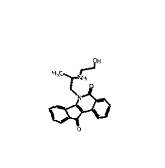 CC(Cn1c2c(c3ccccc3c1=O)C(=O)c1ccccc1-2)NCCO